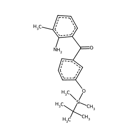 Cc1cccc(C(=O)c2cccc(O[Si](C)(C)C(C)(C)C)c2)c1N